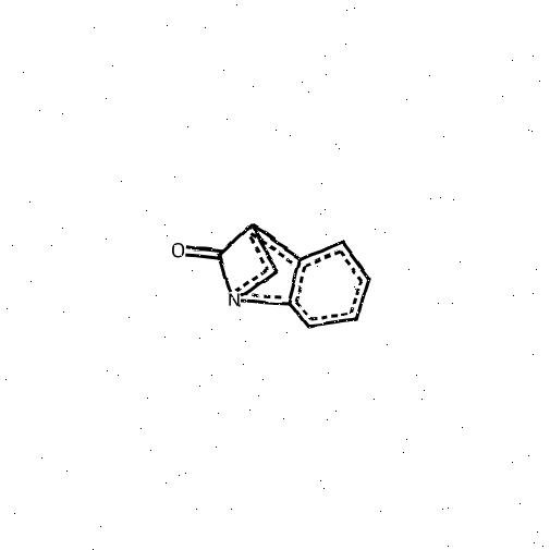 O=C1c2cn1c1ccccc21